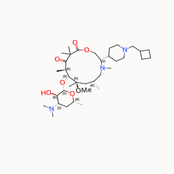 CO[C@]1(C)C[C@@H](C)CN(C)[C@@H](C2CCN(CC3CCC3)CC2)COC(=O)C(C)(C)C(=O)[C@H](C)[C@H]1O[C@@H]1O[C@H](C)C[C@H](N(C)C)[C@H]1O